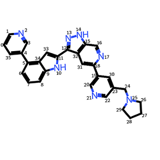 c1cncc(-c2cccc3[nH]c(-c4n[nH]c5cnc(-c6cncc(CN7CCCC7)c6)cc45)cc23)c1